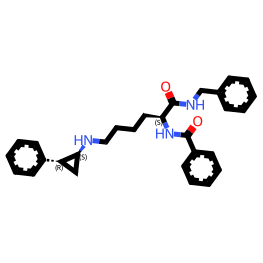 O=C(N[C@@H](CCCCN[C@H]1C[C@@H]1c1ccccc1)C(=O)NCc1ccccc1)c1ccccc1